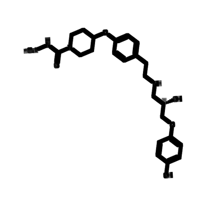 CCCCCCCCNC(=O)N1CCC(Oc2ccc(CCNC[C@H](O)COc3ccc(O)cc3)cc2)CC1